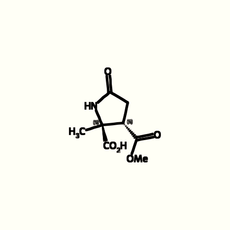 COC(=O)[C@H]1CC(=O)N[C@]1(C)C(=O)O